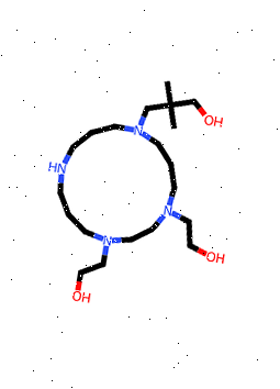 CC(C)(CO)CN1CCCNCCCN(CCO)CCN(CCO)CCC1